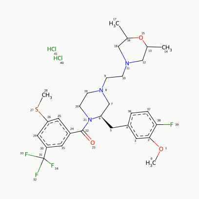 COc1cc(C[C@@H]2CN(CCN3CC(C)OC(C)C3)CCN2C(=O)c2cc(SC)cc(C(F)(F)F)c2)ccc1F.Cl.Cl